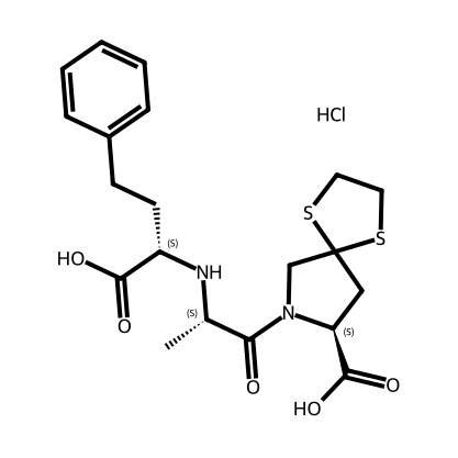 C[C@H](N[C@@H](CCc1ccccc1)C(=O)O)C(=O)N1CC2(C[C@H]1C(=O)O)SCCS2.Cl